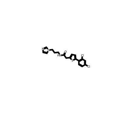 O=C(Cc1ccc(-c2ccc(Cl)cc2Cl)s1)NCCCn1ccnc1